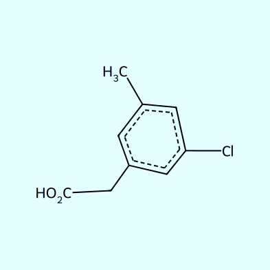 Cc1cc(Cl)cc(CC(=O)O)c1